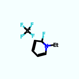 CCN1C=CC=CC1F.F[B-](F)(F)F